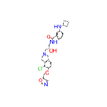 O=C(NCC(O)CN1CCc2c(ccc(OCc3cnco3)c2Cl)C1)c1cccc(NC2CCC2)c1